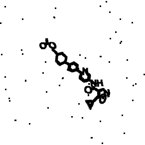 CC(=O)OCC1CCC(c2ccc(-c3ccc(NC(=O)c4cnoc4C4CC4)cn3)cc2)CC1